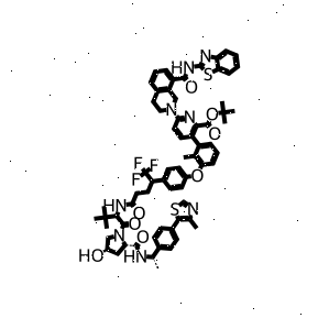 Cc1ncsc1-c1ccc([C@H](C)NC(=O)[C@@H]2C[C@@H](O)CN2C(=O)C(NC(=O)CCC(c2ccc(Oc3cccc(-c4ccc(N5CCc6cccc(C(=O)Nc7nc8ccccc8s7)c6C5)nc4C(=O)OC(C)(C)C)c3C)cc2)C(F)(F)F)C(C)(C)C)cc1